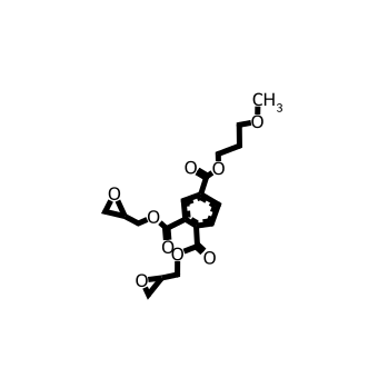 COCCCOC(=O)c1ccc(C(=O)OCC2CO2)c(C(=O)OCC2CO2)c1